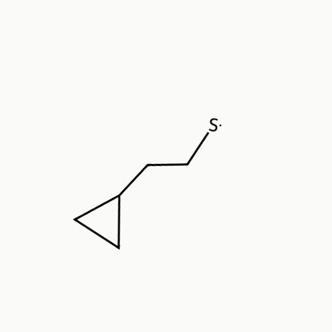 [S]CCC1CC1